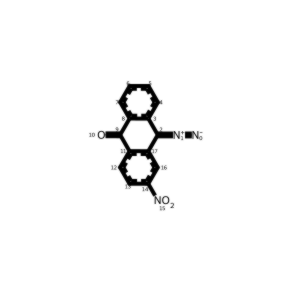 [N-]=[N+]=C1c2ccccc2C(=O)c2ccc([N+](=O)[O-])cc21